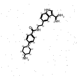 N=C(N)c1c[nH]c2ccc(CCNC(=O)c3ccc(N4CCC(N)CC4)cc3)cc12